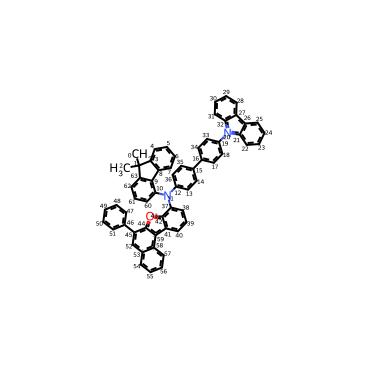 CC1(C)c2ccccc2-c2c(N(c3ccc(-c4ccc(-n5c6ccccc6c6ccccc65)cc4)cc3)c3cccc4c3oc3c(-c5ccccc5)cc5ccccc5c34)cccc21